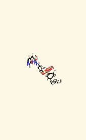 CCCCc1ccc(S(=O)(=O)c2ccc(CNC(=O)c3cc4ccncc4o3)cc2)cc1